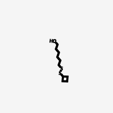 OCCCCCCSSC1CCC1